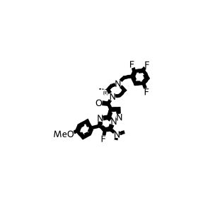 COc1ccc(-c2nc3c(C(=O)N4CCN(Cc5cc(F)cc(F)c5F)C[C@H]4C)cnn3c(N(C)C)c2F)cc1